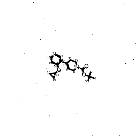 CC(C)(C)OC(=O)N1CC=C(c2cnccc2OC2CC2)CC1